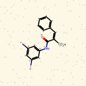 O=C(O)/C(=C/c1ccccc1)C(=O)Nc1cc(I)cc(I)c1